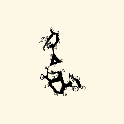 Cc1ccc([C@H]2C[C@@H]2CN2Cc3c(cccc3-c3ncco3)C2=O)nc1